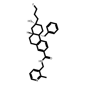 Cc1ncccc1CNC(=O)c1ccc2c(c1)CC[C@@H]1C[C@@](O)(CCCF)CC[C@@]21Cc1ccccc1